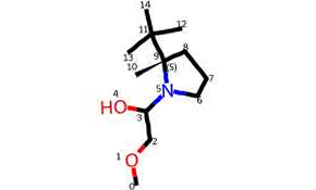 COCC(O)N1CCC[C@@]1(C)C(C)(C)C